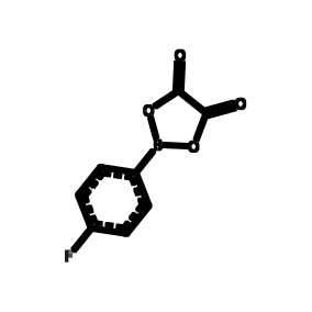 O=C1OB(c2ccc(F)cc2)OC1=O